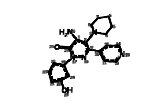 Nc1c(N2CCCCC2)c(-c2ccncc2)nn(-c2cccc(O)c2)c1=O